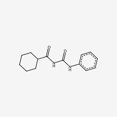 O=C(NC(=O)C1CCCCC1)Nc1c[c]ccc1